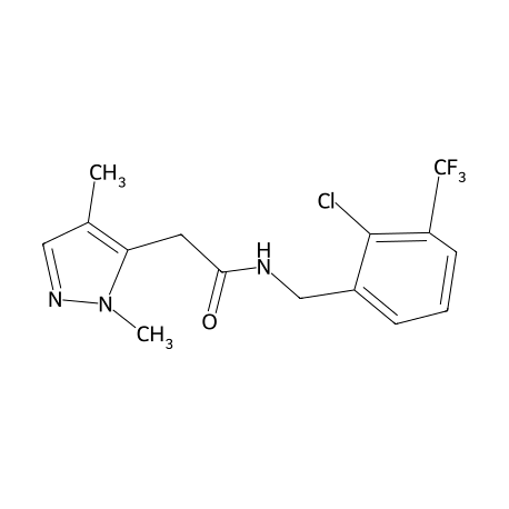 Cc1cnn(C)c1CC(=O)NCc1cccc(C(F)(F)F)c1Cl